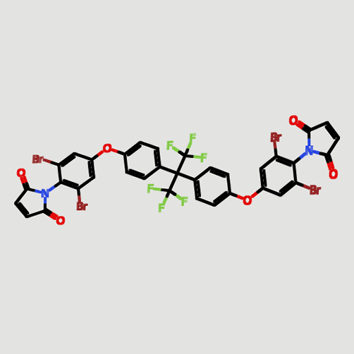 O=C1C=CC(=O)N1c1c(Br)cc(Oc2ccc(C(c3ccc(Oc4cc(Br)c(N5C(=O)C=CC5=O)c(Br)c4)cc3)(C(F)(F)F)C(F)(F)F)cc2)cc1Br